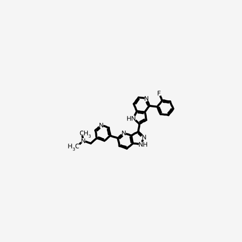 CN(C)Cc1cncc(-c2ccc3[nH]nc(-c4cc5c(-c6ccccc6F)nccc5[nH]4)c3n2)c1